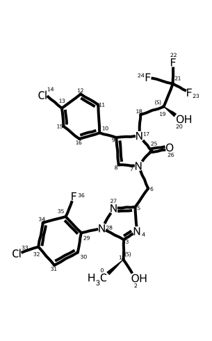 C[C@H](O)c1nc(Cn2cc(-c3ccc(Cl)cc3)n(C[C@H](O)C(F)(F)F)c2=O)nn1-c1ccc(Cl)cc1F